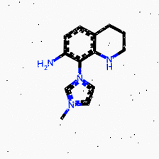 C[n+]1ccn(-c2c(N)ccc3c2NCCC3)c1